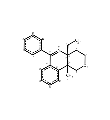 C[C@]12COCC[C@@]1(CC(F)(F)F)N=C(c1ccccc1)c1ccccc12